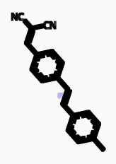 Cc1ccc(/C=C/c2ccc(C=C(C#N)C#N)cc2)cc1